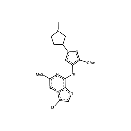 CCc1cnc2c(Nc3cn(C4CCN(C)C4)nc3OC)nc(SC)nn12